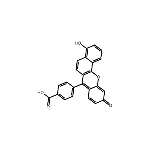 O=C(O)c1ccc(-c2c3ccc(=O)cc-3oc3c2ccc2c(O)cccc23)cc1